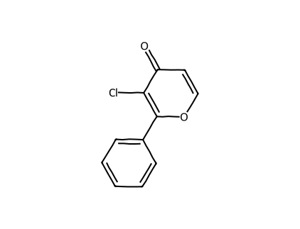 O=c1ccoc(-c2ccccc2)c1Cl